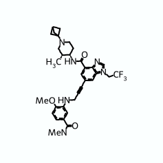 CNC(=O)c1ccc(OC)c(NCC#Cc2cc(C(=O)N[C@@H]3CCN(C45CC(C4)C5)C[C@@H]3C)c3ncn(CC(F)(F)F)c3c2)c1